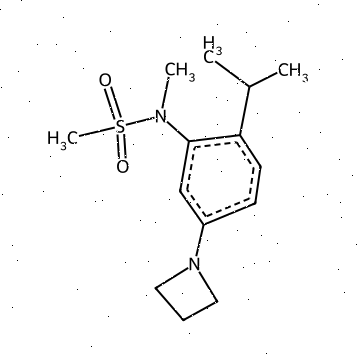 CC(C)c1ccc(N2CCC2)cc1N(C)S(C)(=O)=O